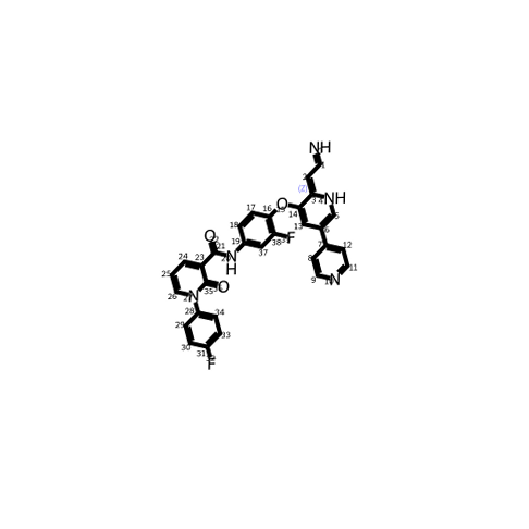 N=C/C=C1\NC=C(c2ccncc2)C=C1Oc1ccc(NC(=O)c2cccn(-c3ccc(F)cc3)c2=O)cc1F